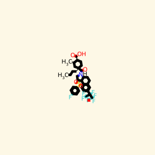 CCCC[C@@]1(C(=O)N2CC[C@@]3(S(=O)(=O)c4ccc(F)cc4)c4ccc(C(F)(C(F)(F)F)C(F)(F)F)cc4CC[C@@H]23)CC[C@H](C(=O)O)[C@@H](C)C1